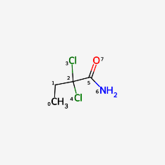 CCC(Cl)(Cl)C(N)=O